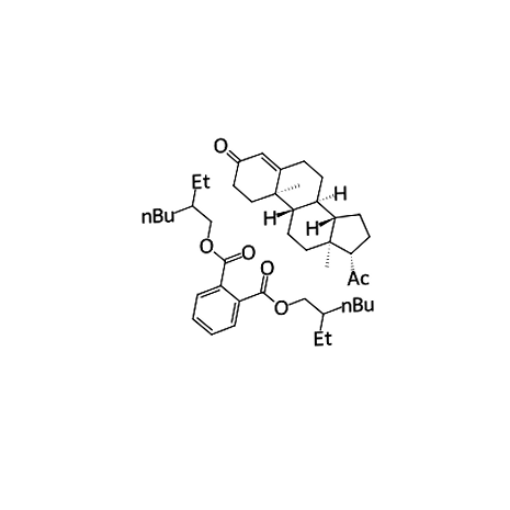 CC(=O)[C@H]1CC[C@H]2[C@@H]3CCC4=CC(=O)CC[C@]4(C)[C@H]3CC[C@]12C.CCCCC(CC)COC(=O)c1ccccc1C(=O)OCC(CC)CCCC